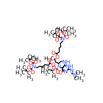 CC(OC(=O)CCCCCN(C(=O)OC(C)(C)C)C(=O)OC(C)(C)C)C(OC(=O)CCCCCN(C(=O)OC(C)(C)C)C(=O)OC(C)(C)C)C1CNc2[nH]c(N=CN(C)C)nc(=O)c2N1C(=O)OC(C)(C)C